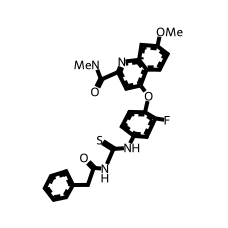 CNC(=O)c1cc(Oc2ccc(NC(=S)NC(=O)Cc3ccccc3)cc2F)c2ccc(OC)cc2n1